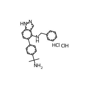 CC(C)(N)c1ccc(-c2ccc3[nH]ncc3c2NCc2ccccc2)cc1.Cl.Cl